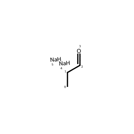 CCC=O.[NaH].[NaH]